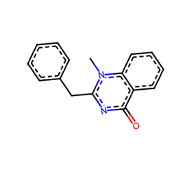 Cn1c(Cc2ccccc2)nc(=O)c2ccccc21